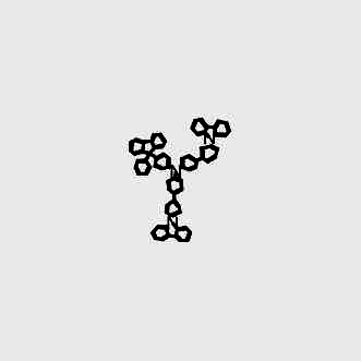 c1ccc(C2(c3ccc(N(c4ccc(-c5ccc(-n6c7ccccc7c7ccccc76)cc5)cc4)c4ccc(-c5cccc(-n6c7ccccc7c7ccccc76)c5)cc4)cc3)c3ccccc3-c3ccccc32)cc1